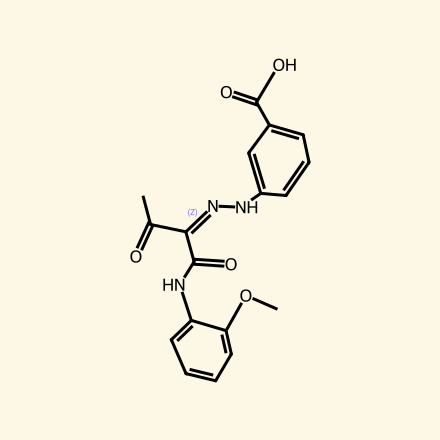 COc1ccccc1NC(=O)/C(=N\Nc1cccc(C(=O)O)c1)C(C)=O